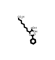 CCCCCCCCC(O)C(CCCCCCCC(=O)O)OC(=O)c1ccccc1